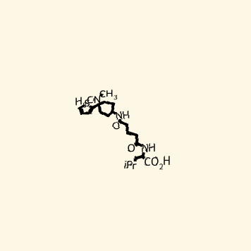 CC(C)CC(NC(=O)CCCC(=O)NC1CCC(c2cccs2)(N(C)C)CC1)C(=O)O